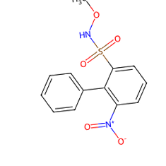 CONS(=O)(=O)c1cccc([N+](=O)[O-])c1-c1ccccc1